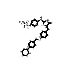 O=C1N=C(Nc2ccc(NS(=O)(=O)C(F)(F)F)cc2)SC1=Cc1ccc(OCc2ccc(C3CCCCC3)cc2)cc1